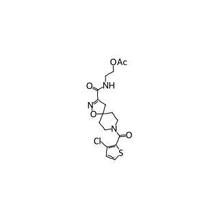 CC(=O)OCCNC(=O)C1=NOC2(CCN(C(=O)c3sccc3Cl)CC2)C1